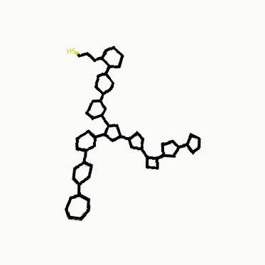 SCCCC1CCCCC1C1CCC(C2CCCC(C3CC(C4CCC(C5CCC5C5CCC(C6CCCC6)C5)C4)CC3C3CCCC(C4CCC(C5CCCCCC5)CC4)C3)C2)CC1